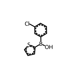 OB(c1cccc(Cl)c1)c1cccs1